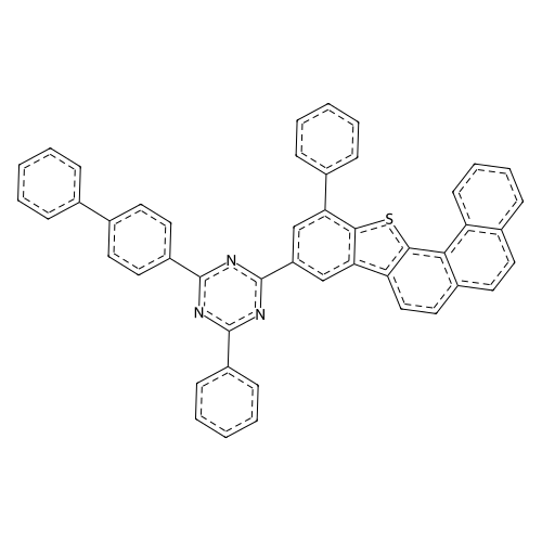 c1ccc(-c2ccc(-c3nc(-c4ccccc4)nc(-c4cc(-c5ccccc5)c5sc6c(ccc7ccc8ccccc8c76)c5c4)n3)cc2)cc1